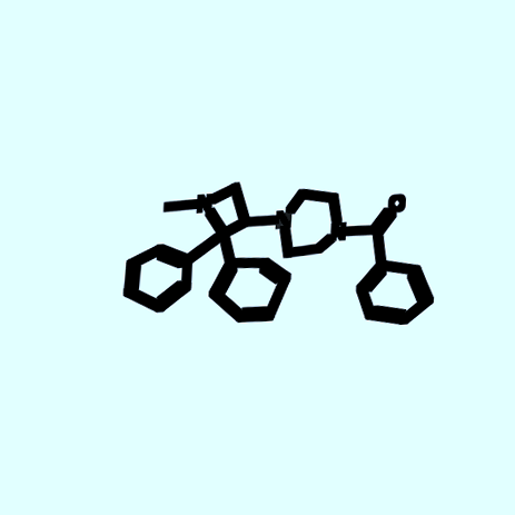 CN1CC(N2CCN(C(=O)c3ccccc3)CC2)C1(c1ccccc1)c1ccccc1